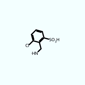 [NH]Cc1c(Cl)cccc1S(=O)(=O)O